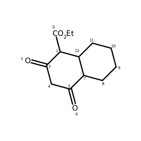 CCOC(=O)C1C(=O)CC(=O)C2CCCCC21